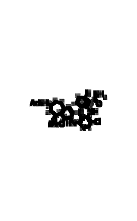 COc1c(Nc2ncc(Cl)c(N[C@H]3[C@@H](C(N)=O)[C@@H]4C=C[C@H]3C4)n2)ccc2c1C(=O)CC(NC(C)=O)CC2